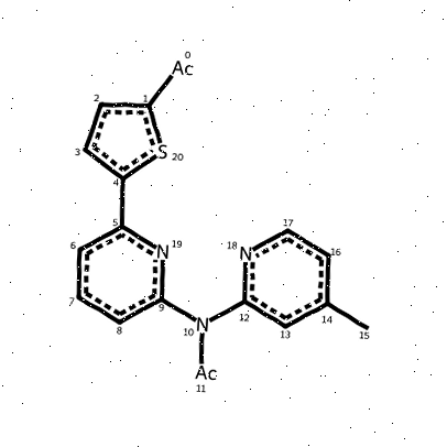 CC(=O)c1ccc(-c2cccc(N(C(C)=O)c3cc(C)ccn3)n2)s1